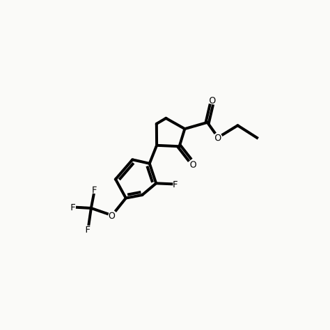 CCOC(=O)C1CCC(c2ccc(OC(F)(F)F)cc2F)C1=O